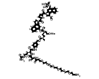 COCCN(CCN(C)C(=O)OCc1ccc(NC(=O)[C@H](CCCNC(N)=O)NC(=O)C(NC(=O)CCOCCOCCOCCOCCOCCOCCN)C(C)C)cc1)C(=O)Oc1cc2c(c3ccccc13)CCN2C(=O)c1ccc(C(=O)N2C[C@@H](CCl)c3c2cc(OP(=O)(O)O)c2ccccc32)s1